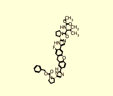 COC(=O)N[C@H](C(=O)N1CCC[C@H]1c1ncc(-c2cc3c(cc2F)Cc2cc(-c4ncc([C@@H]5CCCN5C(=O)OCc5ccccc5)[nH]4)ccc2O3)[nH]1)C(C)C